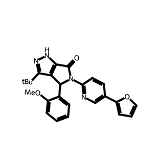 COc1ccccc1C1c2c(C(C)(C)C)n[nH]c2C(=O)N1c1ccc(-c2ccco2)cn1